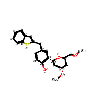 CCCCOCC1C[C@H](OCCCC)C[C@H](c2cc(CC3Cc4ccccc4S3)ccc2O)O1